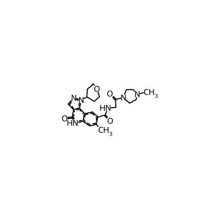 Cc1cc2[nH]c(=O)c3cnn(C4CCOCC4)c3c2cc1C(=O)NCC(=O)N1CCN(C)CC1